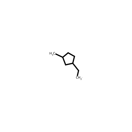 [CH2]CC1CCC(C)C1